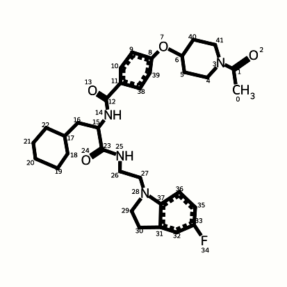 CC(=O)N1CCC(Oc2ccc(C(=O)NC(CC3CCCCC3)C(=O)NCCN3CCc4cc(F)ccc43)cc2)CC1